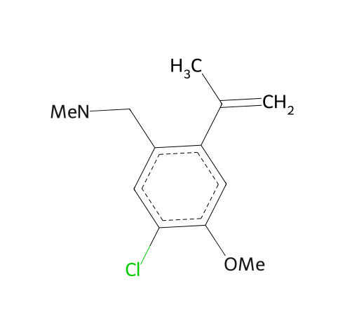 C=C(C)c1cc(OC)c(Cl)cc1CNC